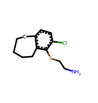 NCCSc1c(Cl)ccc2c1CCCCC2